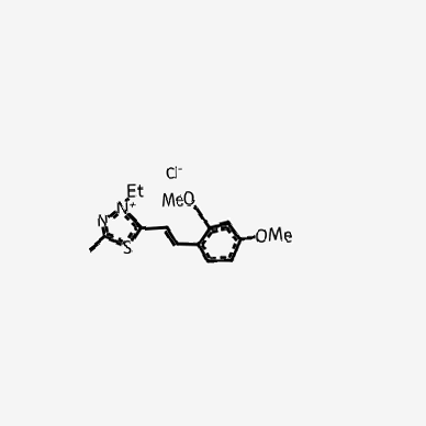 CC[n+]1nc(C)sc1C=Cc1ccc(OC)cc1OC.[Cl-]